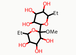 CCC1OC(C2(OC)OC(CC)C(O)C(O)C2O)C(O)C(O)C1O